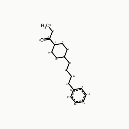 CCC(=O)C1CCC(CCCCc2ccccc2)CC1